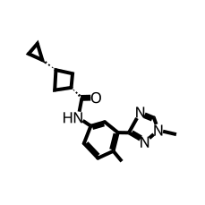 Cc1ccc(NC(=O)[C@H]2C[C@@H](C3CC3)C2)cc1-c1ncn(C)n1